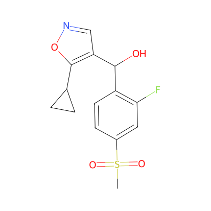 CS(=O)(=O)c1ccc(C(O)c2cnoc2C2CC2)c(F)c1